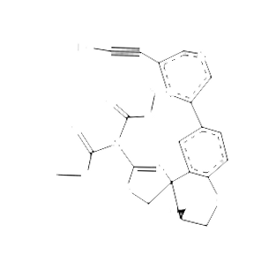 CC#Cc1cncc(-c2ccc3c(c2)C2(COC(N(C(=O)OC(C)(C)C)C(=O)OC(C)(C)C)=N2)C2(COC2)CO3)n1